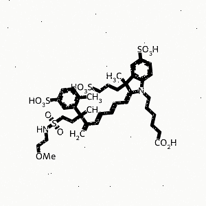 C=C(/C=C/C=C/C=C1/N(CCCCCC(=O)O)c2ccc(S(=O)(=O)O)cc2C1(C)CCCS(=O)(=O)O)C(C)(CCS(=O)(=O)NCCOC)c1cc(S(=O)(=O)O)ccc1C